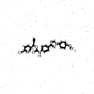 C#CC(OC(=O)Nc1ccc(-c2ncn(-c3ccc(OC(F)(F)F)cc3)n2)cc1)c1ccc(Cl)nc1